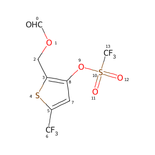 O=COCc1sc(C(F)(F)F)cc1OS(=O)(=O)C(F)(F)F